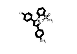 Nc1ccc(-c2cc(-c3ccc(Cl)cc3)n(-c3ccccc3S(N)(=O)=O)n2)cc1